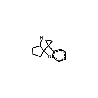 NC1CCCC1(N)C1(c2ccccc2)CC1